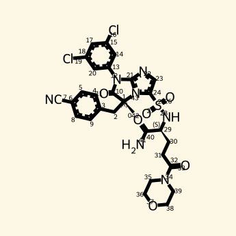 C[C@@]1(Cc2ccc(C#N)cc2)C(=O)N(c2cc(Cl)cc(Cl)c2)c2ncc(S(=O)(=O)N[C@@H](CCC(=O)N3CCOCC3)C(N)=O)n21